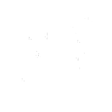 [CH2]CN(C)c1cc(OC)c(Nc2nccc(-c3cn4c5c(cccc35)CCC4)n2)cc1NC(=O)C=C